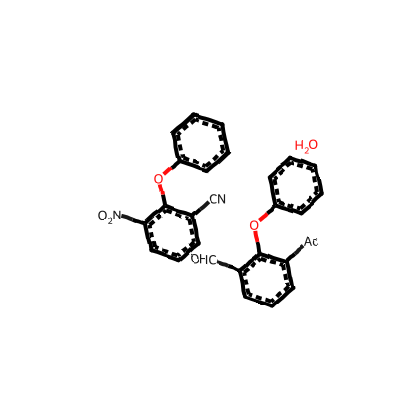 CC(=O)c1cccc(C=O)c1Oc1ccccc1.N#Cc1cccc([N+](=O)[O-])c1Oc1ccccc1.O